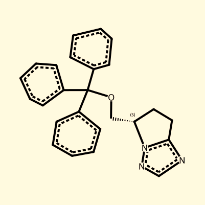 c1ccc(C(OC[C@@H]2CCc3ncnn32)(c2ccccc2)c2ccccc2)cc1